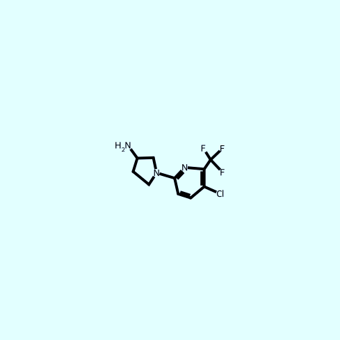 NC1CCN(c2ccc(Cl)c(C(F)(F)F)n2)C1